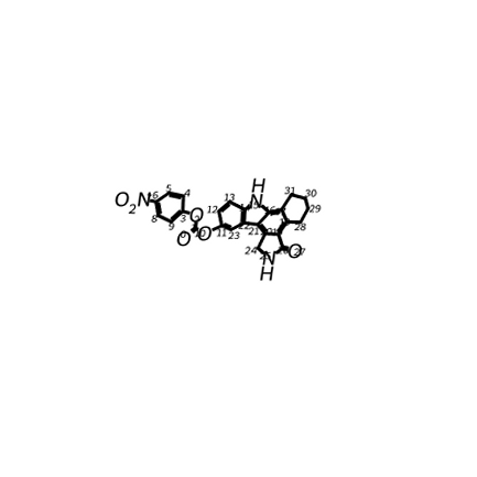 O=C(Oc1ccc([N+](=O)[O-])cc1)Oc1ccc2[nH]c3c4c(c5c(c3c2c1)CNC5=O)CCCC4